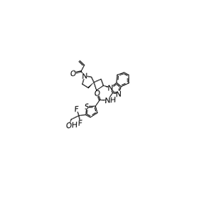 C=CC(=O)N1CC[C@]2(C1)C[C@H](n1c(NC(=O)c3ccc(C(F)(F)CO)s3)nc3ccccc31)C2